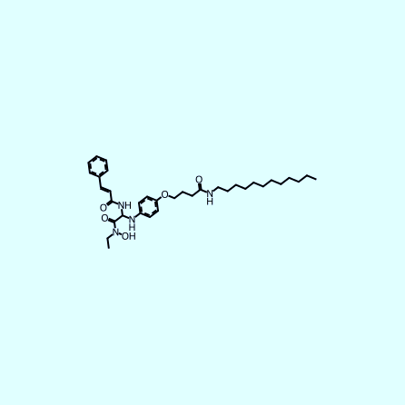 CCCCCCCCCCCCNC(=O)CCCOc1ccc(NC(NC(=O)C=Cc2ccccc2)C(=O)N(O)CC)cc1